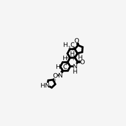 C[C@]12CCC(=NO[C@@H]3CCNC3)CC1NC(=O)[C@@H]1[C@@H]2CC[C@]2(C)C(=O)CC[C@@H]12